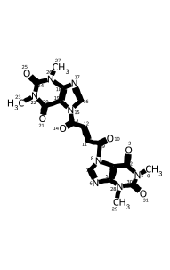 Cn1c(=O)c2c(ncn2C(=O)/C=C/C(=O)n2cnc3c2c(=O)n(C)c(=O)n3C)n(C)c1=O